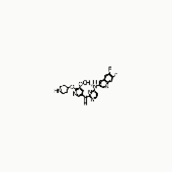 COc1cc(Nc2nccc(Nc3cnc4cc(F)c(F)cc4c3)n2)cnc1OC1CCNCC1